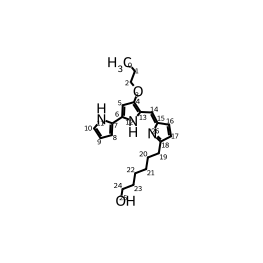 CCCOc1cc(-c2ccc[nH]2)[nH]c1C=C1C=CC(CCCCCCO)=N1